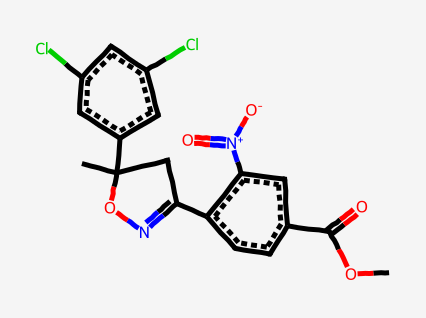 COC(=O)c1ccc(C2=NOC(C)(c3cc(Cl)cc(Cl)c3)C2)c([N+](=O)[O-])c1